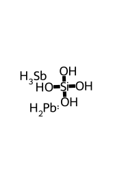 O[Si](O)(O)O.[PbH2].[SbH3]